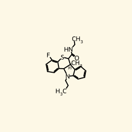 CCCN1c2ccccc2[C@@]2(C)C(C(=O)NCC)Sc3c(F)cccc3C12